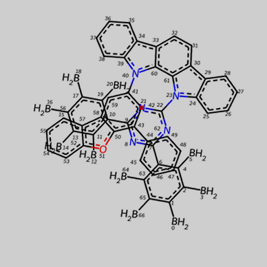 Bc1c(B)c(B)c(-c2nc(-c3c(B)c(B)c(B)c(B)c3B)nc(-n3c4ccccc4c4ccc5c6ccccc6n(-c6cc(-c7ccccc7)c7oc8ccccc8c7c6)c5c43)n2)c(B)c1B